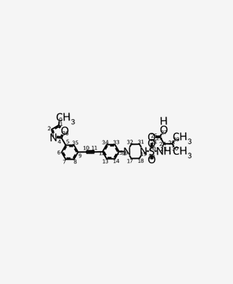 Cc1cnc(-c2cccc(C#Cc3ccc(N4CCN(S(=O)(=O)N[C@@H](C(=O)O)C(C)C)CC4)cc3)c2)o1